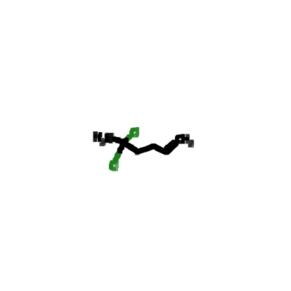 C=CCCC([SiH3])(Cl)Cl